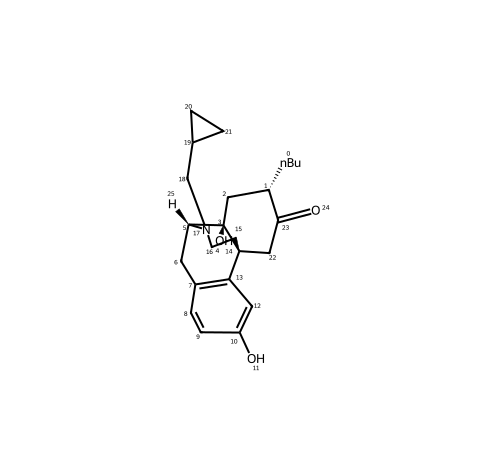 CCCC[C@H]1C[C@@]2(O)[C@H]3Cc4ccc(O)cc4[C@@]2(CCN3CC2CC2)CC1=O